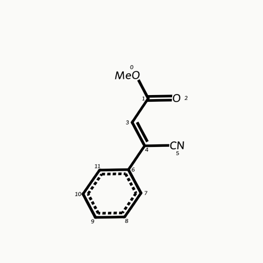 COC(=O)C=C(C#N)c1ccccc1